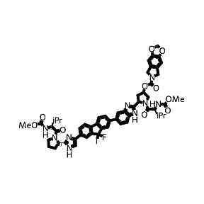 COC(=O)N[C@H](C(=O)N1CC(OC(=O)N2Cc3cc4c(cc3C2)OCO4)CC1c1nc2cc(-c3ccc4c(c3)C(F)(I)c3cc(-c5c[nH]c([C@@H]6CCCN6C(=O)[C@@H](NC(=O)OC)C(C)C)n5)ccc3-4)ccc2[nH]1)C(C)C